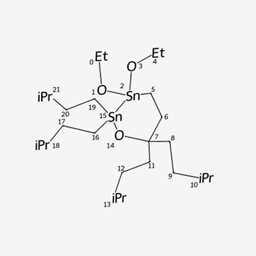 CC[O][Sn]1([O]CC)[CH2]CC(CCC(C)C)(CCC(C)C)[O][Sn]1([CH2]CC(C)C)[CH2]CC(C)C